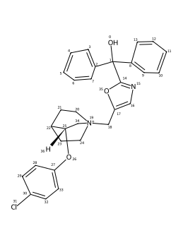 OC(c1ccccc1)(c1ccccc1)c1ncc(C[N+]23CCC(CC2)[C@@H](Oc2ccc(Cl)cc2)C3)o1